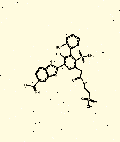 N=C(N)c1ccc2[nH]c(-c3cc(CC(=O)NCCS(=O)(=O)O)c(S(N)(=O)=O)c(-c4ccccc4O)c3O)nc2c1